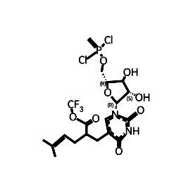 C=P(Cl)(Cl)OC[C@H]1O[C@@H](n2cc(CC(CC=C(C)C)C(=O)OC(F)(F)F)c(=O)[nH]c2=O)[C@@H](O)C1O